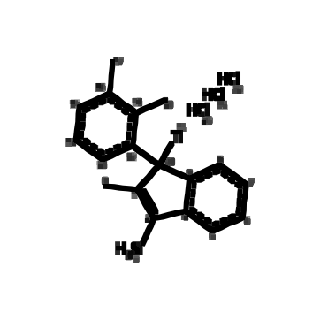 CC1=C([SiH3])c2ccccc2[C]1([Ti])c1cccc(C)c1C.Cl.Cl.Cl